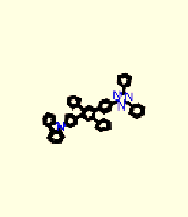 c1ccc(-c2nc(-c3ccccc3)nc(-c3ccc(-c4cc(-c5ccccc5)c(-c5ccc(-n6c7ccccc7c7ccccc76)cc5)cc4-c4ccccc4)cc3)n2)cc1